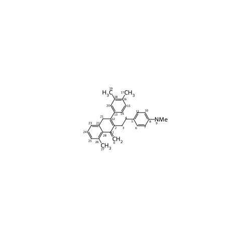 C=C1C(CCc2ccc(NC)cc2)=C(c2ccc(C)c(C)c2)Cc2cccc(C)c21